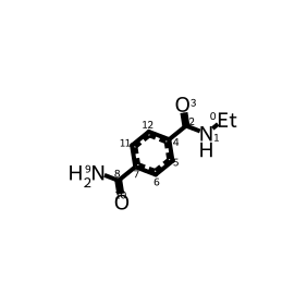 CCNC(=O)c1ccc(C(N)=O)cc1